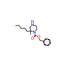 CCCCCC1(C)CNCCN1C(=O)OCc1ccccc1